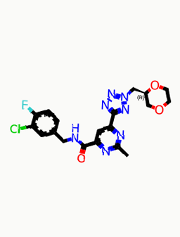 Cc1nc(C(=O)NCc2ccc(F)c(Cl)c2)cc(-c2nnn(C[C@@H]3COCCO3)n2)n1